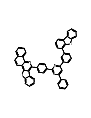 c1ccc(-c2cc(-c3cccc(-c4cccc5c4oc4ccccc45)c3)nc(-c3ccc(-c4nc5c6ccccc6ccc5c5oc6ccccc6c45)cc3)n2)cc1